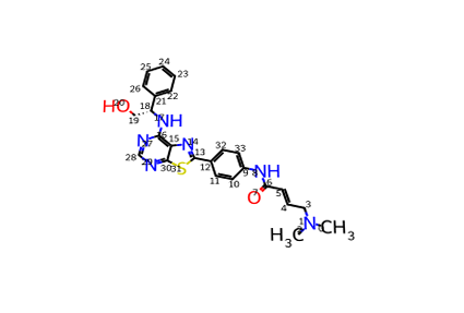 CN(C)C/C=C/C(=O)Nc1ccc(-c2nc3c(N[C@H](CO)c4ccccc4)ncnc3s2)cc1